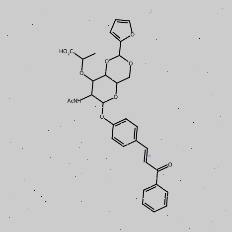 CC(=O)NC1C(Oc2ccc(/C=C/C(=O)c3ccccc3)cc2)OC2COC(c3ccco3)OC2C1OC(C)C(=O)O